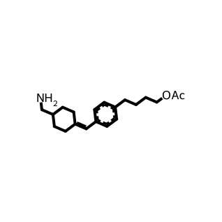 CC(=O)OCCCCc1ccc(C=C2CCC(CN)CC2)cc1